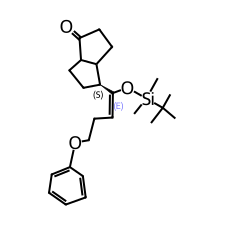 CC(C)(C)[Si](C)(C)O/C(=C/CCOc1ccccc1)[C@H]1CCC2C(=O)CCC21